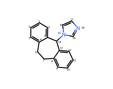 c1ccc2c(c1)CCc1ccccc1C2n1ccnc1